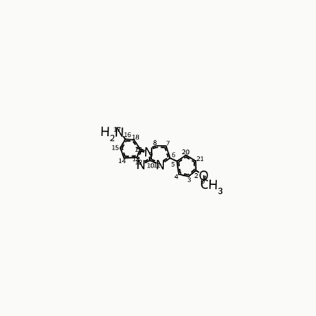 COc1ccc(-c2ccn3c(n2)nc2ccc(N)cc23)cc1